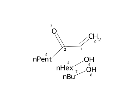 C=CC(=O)CCCCC.CCCCCCO.CCCCO